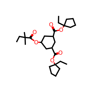 CCC1(OC(=O)C2CC(OC(=O)C(C)(C)CC)CC(C(=O)OC3(CC)CCCC3)C2)CCCC1